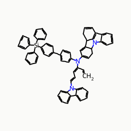 C=C/C(=C\C=C\n1c2ccccc2c2ccccc21)N(C1=CCC2C(=C1)C1CC=Cc3c1n2c1ccccc31)c1ccc(-c2ccc([Si](c3ccccc3)(c3ccccc3)c3ccccc3)cc2)cc1